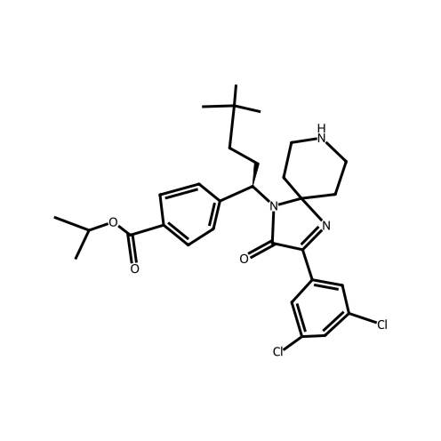 CC(C)OC(=O)c1ccc([C@@H](CCC(C)(C)C)N2C(=O)C(c3cc(Cl)cc(Cl)c3)=NC23CCNCC3)cc1